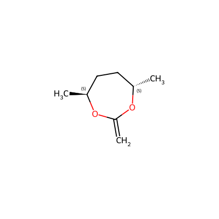 C=C1O[C@@H](C)CC[C@H](C)O1